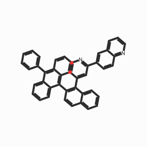 c1ccc(-c2c3ccccc3c(-c3ccc4ccccc4c3-c3ccnc(-c4ccc5ncccc5c4)c3)c3ccccc23)cc1